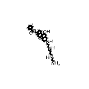 C[C@]12CC[C@H](NCCCNCCCCNCCCN)CC1C[C@@H](O)C1C2CC[C@]2(C)C(COC(=O)c3ccccc3)CCC12